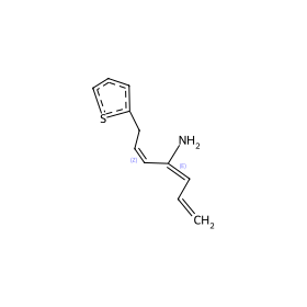 C=C/C=C(N)\C=C/Cc1cccs1